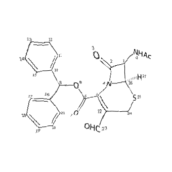 CC(=O)NC1C(=O)N2C(C(=O)OC(c3ccccc3)c3ccccc3)=C(C=O)CS[C@H]12